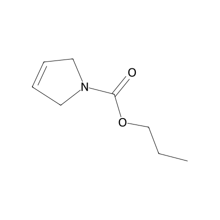 CCCOC(=O)N1CC=CC1